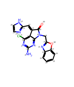 Nc1nc(Cl)c2c(n1)N(Cc1nc3ccccc3o1)C(=O)/C2=C/c1ncc[nH]1